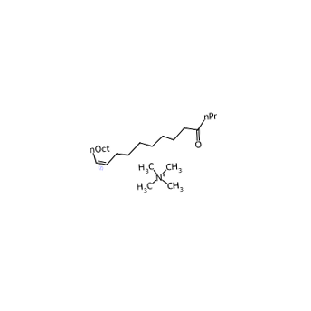 C[N+](C)(C)C.[CH2]CCC(=O)CCCCCCC/C=C\CCCCCCCC